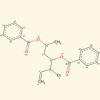 C=CC(CC)C(CC(C)OC(=O)c1ccccc1)OC(=O)c1ccccc1